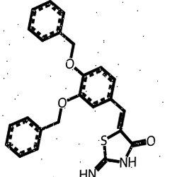 N=C1NC(=O)C(=Cc2ccc(OCc3ccccc3)c(OCc3ccccc3)c2)S1